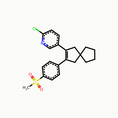 CS(=O)(=O)c1ccc(C2=C(c3ccc(Cl)nc3)CC3(CCCC3)C2)cc1